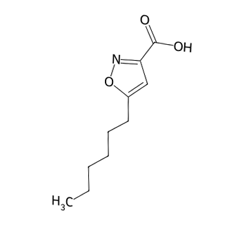 CCCCCCc1cc(C(=O)O)no1